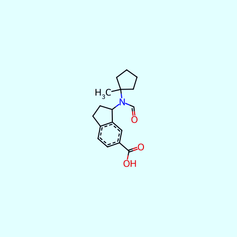 CC1(N(C=O)C2CCc3ccc(C(=O)O)cc32)CCCC1